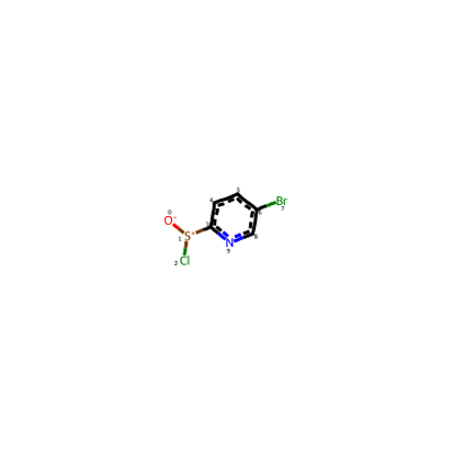 [O-][S+](Cl)c1ccc(Br)cn1